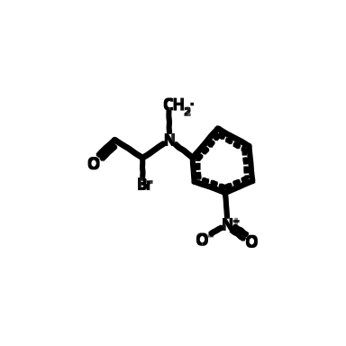 [CH2]N(c1cccc([N+](=O)[O-])c1)C(Br)C=O